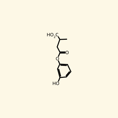 CC(CC(=O)Oc1cccc(O)c1)C(=O)O